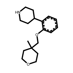 CC1(COc2ccccc2C2CCNCC2)CCOCC1